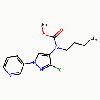 CC(C)(C)OC(=O)N(CCCC(F)(F)F)c1cn(-c2cccnc2)nc1Cl